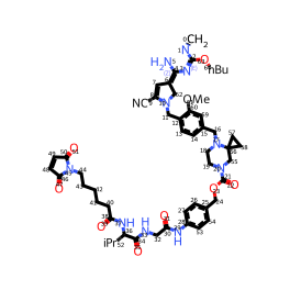 C=N/C(=N\C(N)=C1\C=C(C#N)N(Cc2ccc(CN3CCN(C(=O)OCc4ccc(NC(=O)CNC(=O)C(NC(=O)CCCCCN5C(=O)C=CC5=O)C(C)C)cc4)CC34CC4)cc2OC)C1)OCCCC